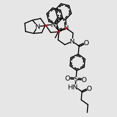 CCCC(=O)NS(=O)(=O)c1ccc(C(=O)N2CCC(CCN3C4CCC3CC(n3c(C)nc5ccccc53)C4)(c3ccccc3)CC2)cc1